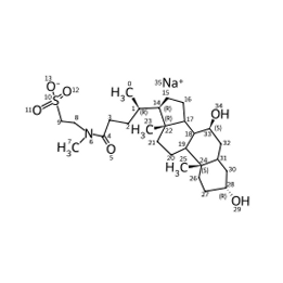 C[C@H](CCC(=O)N(C)CCS(=O)(=O)[O-])[C@H]1CCC2C3C(CC[C@@]21C)[C@@]1(C)CC[C@@H](O)CC1C[C@@H]3O.[Na+]